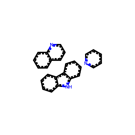 c1ccc2c(c1)[nH]c1ccccc12.c1ccc2ncccc2c1.c1ccncc1